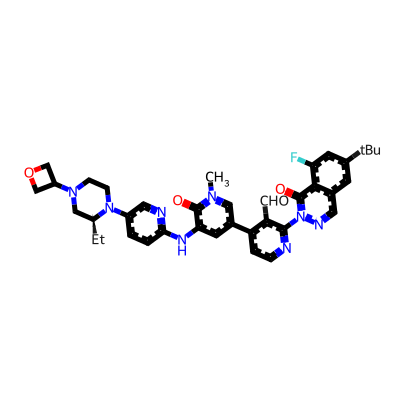 CC[C@H]1CN(C2COC2)CCN1c1ccc(Nc2cc(-c3ccnc(-n4ncc5cc(C(C)(C)C)cc(F)c5c4=O)c3C=O)cn(C)c2=O)nc1